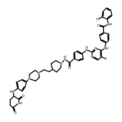 O=C1CCC(Nc2ccc(N3CCN(CCC4CCN(NC(=O)c5ccc(Nc6ncc(F)c(Nc7ccc(C(=O)Nc8ccccc8Cl)cc7)n6)cc5)CC4)CC3)cc2)C(=O)N1